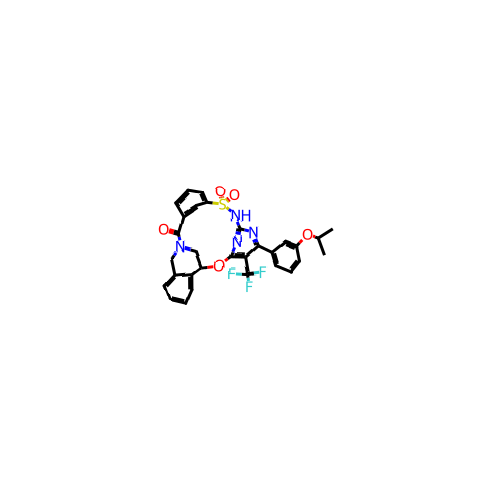 CC(C)Oc1cccc(-c2nc3nc(c2C(F)(F)F)OC2CN(Cc4ccccc42)C(=O)c2cccc(c2)S(=O)(=O)N3)c1